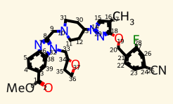 COC(=O)c1ccc2nc(CN3CCC(n4cc(C)c(OCc5ccc(C#N)cc5F)n4)CC3)n(CC3CCO3)c2c1